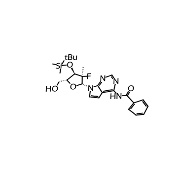 CC(C)(C)[Si](C)(C)O[C@@H]1[C@@H](CO)O[C@@H](n2ccc3c(NC(=O)c4ccccc4)ncnc32)[C@]1(C)F